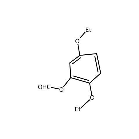 CCOc1ccc(OCC)c(OC=O)c1